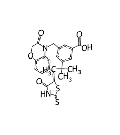 CC(C)(C)c1cc(CN2C(=O)COc3ccc(C=C4SC(=S)NC4=O)cc32)cc(C(=O)O)c1